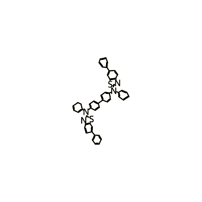 C1=CCCC(N(c2ccc(-c3ccc(N(c4ccccc4)c4nc5ccc(-c6ccccc6)cc5s4)cc3)cc2)c2nc3ccc(-c4ccccc4)cc3s2)=C1